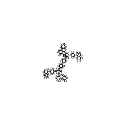 c1ccc2c(-c3ccc(-c4cc(-c5cc6ccccc6c6ccccc56)nc(-c5ccc(-c6ccc(-c7nc(-c8ccc(-c9nccc%10ccccc9%10)cc8)cc(-c8cc9ccccc9c9ccccc89)n7)cc6)cc5)n4)cc3)nccc2c1